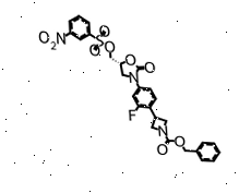 O=C(OCc1ccccc1)N1CC(c2ccc(N3C[C@H](COS(=O)(=O)c4cccc([N+](=O)[O-])c4)OC3=O)cc2F)C1